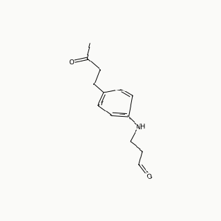 CC(=O)CCc1ccc(NCCC=O)cc1